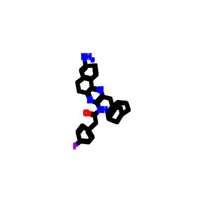 Nc1ccc2c(c1)CCc1nc(NC(=O)Cc3ccc(I)cc3)c(CC34CC5CC(CC(C5)C3)C4)nc1-2